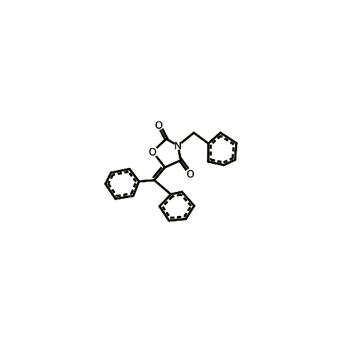 O=C1OC(=C(c2ccccc2)c2ccccc2)C(=O)N1Cc1ccccc1